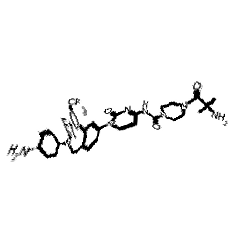 CCN(Cc1ccc(-n2ccc(NC(=O)N3CCN(C(=O)C(C)(C)N)CC3)nc2=O)cc1OC(F)(F)F)[C@H]1CC[C@H](N)CC1